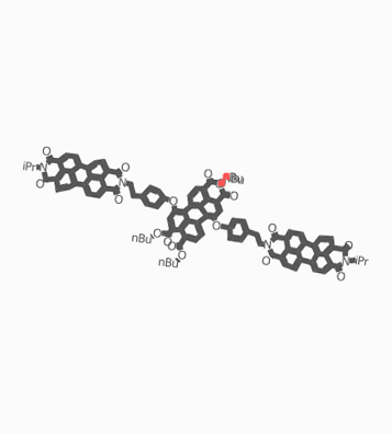 CCCCOC(=O)c1ccc2c3c(Oc4ccc(CCN5C(=O)c6ccc7c8ccc9c%10c(ccc(c%11ccc(c6c7%11)C5=O)c%108)C(=O)N(C(C)C)C9=O)cc4)cc(C(=O)OCCCC)c4c(C(=O)OCCCC)ccc(c5c(Oc6ccc(CCN7C(=O)c8ccc9c%10ccc%11c%12c(ccc(c%13ccc(c8c9%13)C7=O)c%12%10)C(=O)N(C(C)C)C%11=O)cc6)cc(C(=O)OCCCC)c1c25)c43